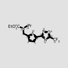 CCOC(=O)N(Cc1ccc(-c2noc(C(F)(F)F)n2)s1)C(C)C